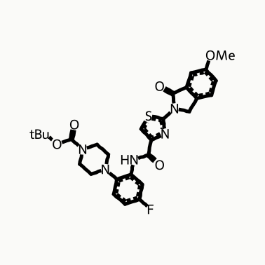 COc1ccc2c(c1)C(=O)N(c1nc(C(=O)Nc3cc(F)ccc3N3CCN(C(=O)OC(C)(C)C)CC3)cs1)C2